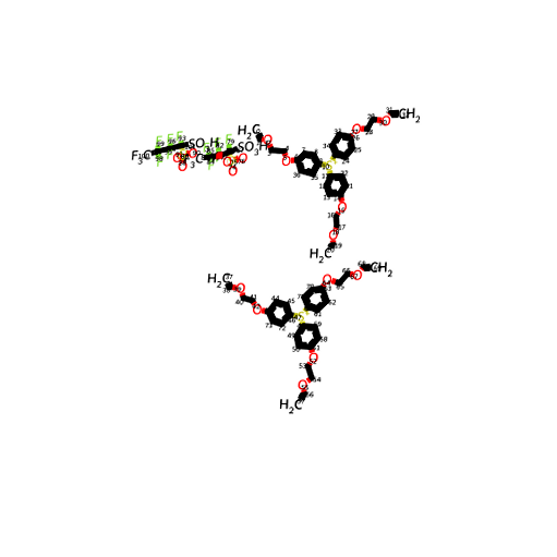 C=COCCOc1ccc([S+](c2ccc(OCCOC=C)cc2)c2ccc(OCCOC=C)cc2)cc1.C=COCCOc1ccc([S+](c2ccc(OCCOC=C)cc2)c2ccc(OCCOC=C)cc2)cc1.O=S(=O)([O-])C(F)(C(F)(F)C(F)(F)C(F)(F)F)S(=O)(=O)O.O=S(=O)([O-])C(F)(C(F)(F)C(F)(F)C(F)(F)F)S(=O)(=O)O